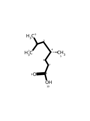 CC(C)C[C@H](C)CCC(=O)O